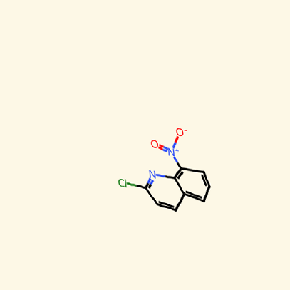 O=[N+]([O-])c1cccc2ccc(Cl)nc12